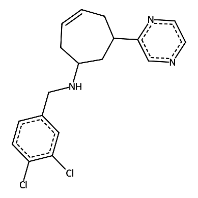 Clc1ccc(CNC2CC=CCC(c3cnccn3)C2)cc1Cl